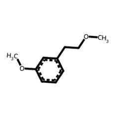 COCCc1cccc(OC)c1